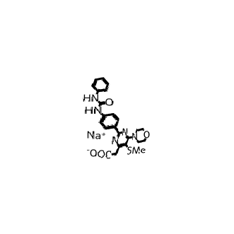 CSc1c(CC(=O)[O-])nc(-c2ccc(NC(=O)Nc3ccccc3)cc2)nc1N1CCOCC1.[Na+]